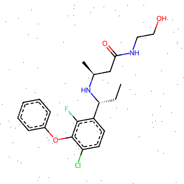 CC[C@@H](N[C@@H](C)CC(=O)NCCO)c1ccc(Cl)c(Oc2ccccc2)c1F